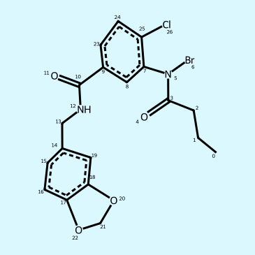 CCCC(=O)N(Br)c1cc(C(=O)NCc2ccc3c(c2)OCO3)ccc1Cl